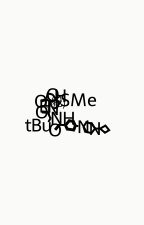 CS[C@H]1CN(C(=O)C(NC(=O)c2ccc(N3CCN(C4CCC4)CC3)cc2)C(C)(C)C)[C@@H]2C(=O)CO[C@H]12